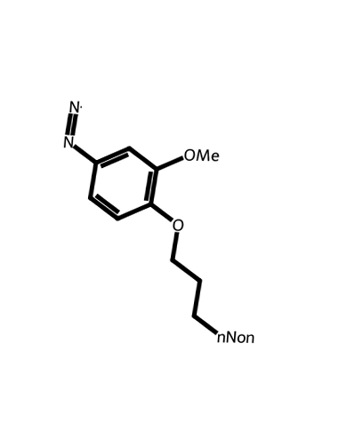 CCCCCCCCCCCCOc1ccc(N=[N])cc1OC